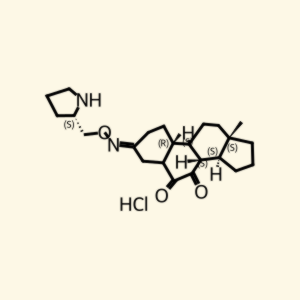 C[C@@]12CCC[C@H]1[C@@H]1C(=O)C(=O)C3CC(=NOC[C@@H]4CCCN4)CC[C@]3(C)[C@H]1CC2.Cl